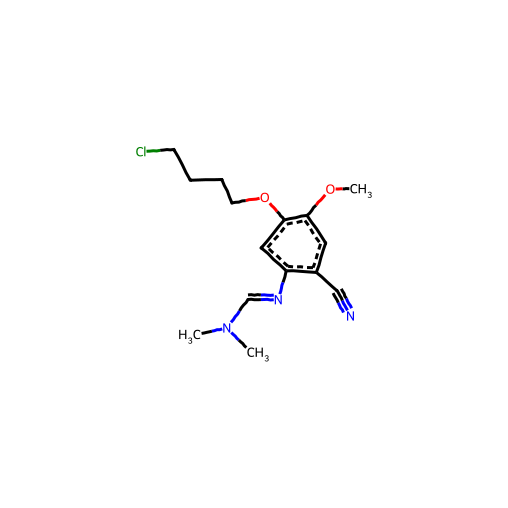 COc1cc(C#N)c(N=CN(C)C)cc1OCCCCCl